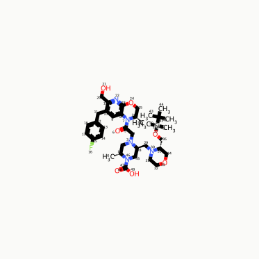 C[C@@H]1CN(CC(=O)N2c3cc(Cc4ccc(F)cc4)c(CO)nc3OC[C@@H]2C)[C@@H](CN2CCOC[C@H]2CO[Si](C)(C)C(C)(C)C)CN1C(=O)O